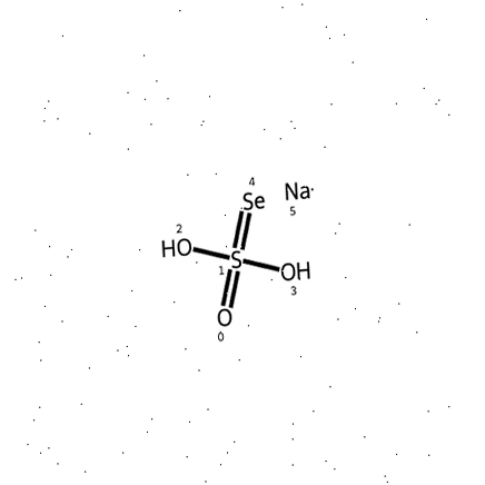 O=S(O)(O)=[Se].[Na]